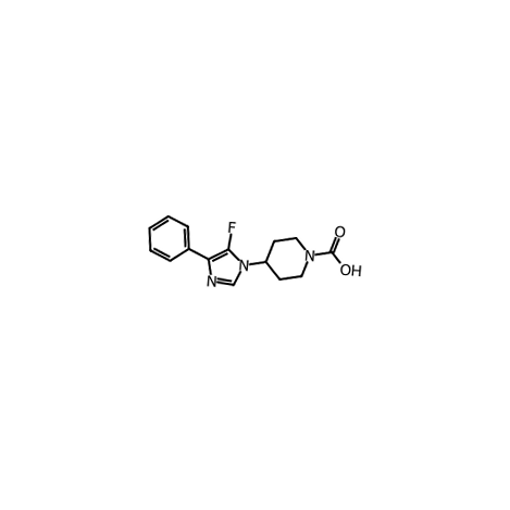 O=C(O)N1CCC(n2cnc(-c3ccccc3)c2F)CC1